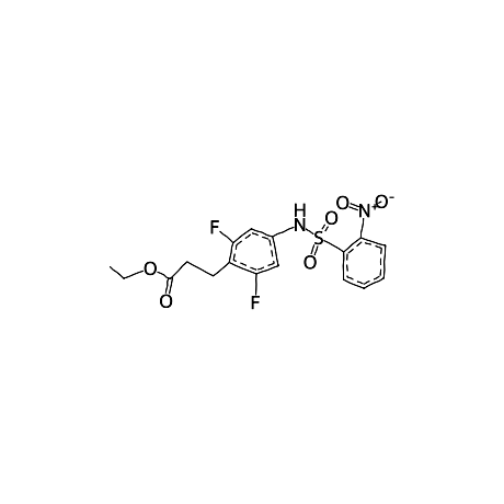 CCOC(=O)CCc1c(F)cc(NS(=O)(=O)c2ccccc2[N+](=O)[O-])cc1F